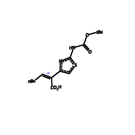 CCCC/C=C(\C(=O)O)c1csc(NC(=O)OC(C)(C)C)n1